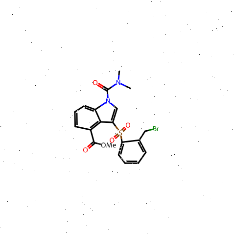 COC(=O)c1cccc2c1c(S(=O)(=O)c1ccccc1CBr)cn2C(=O)N(C)C